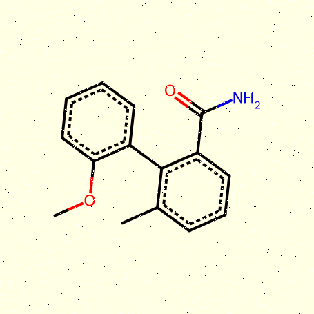 COc1ccccc1-c1c(C)cccc1C(N)=O